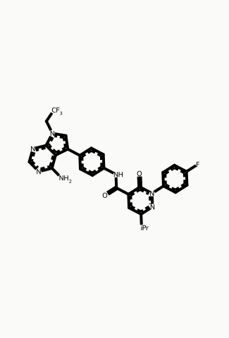 CC(C)c1cc(C(=O)Nc2ccc(-c3cn(CC(F)(F)F)c4ncnc(N)c34)cc2)c(=O)n(-c2ccc(F)cc2)n1